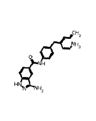 C=C/C=C(\C=C/N)Cc1ccc(NC(=O)c2ccc3[nH]nc(N)c3c2)cc1